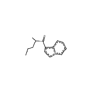 CCCC(C)C(=O)c1ccn2ccccc12